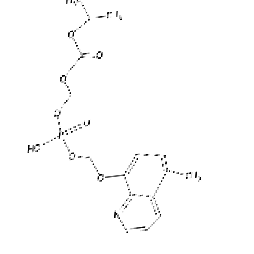 Cc1ccc(OCOP(=O)(O)OCOC(=O)OC(C)C)c2ncccc12